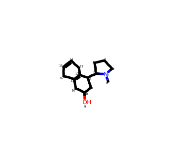 CN1CCCC1C1CC(O)CC2=C1CC=CC2